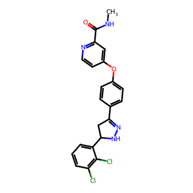 CNC(=O)c1cc(Oc2ccc(C3=NNC(c4cccc(Cl)c4Cl)C3)cc2)ccn1